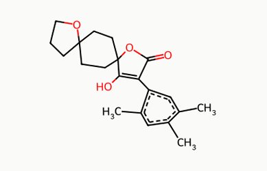 Cc1cc(C)c(C2=C(O)C3(CCC4(CCCO4)CC3)OC2=O)cc1C